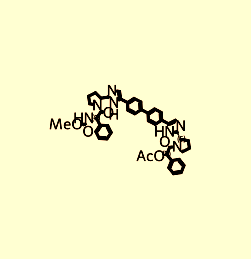 COC(=O)N[C@H](C(=O)N1CCCC1c1ncc(-c2ccc(-c3ccc(-c4cnc([C@@H]5CCCN5C(=O)[C@H](OC(C)=O)c5ccccc5)[nH]4)cc3)cc2)[nH]1)c1ccccc1